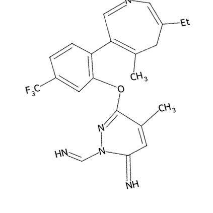 CCC1=CN=CC(c2ccc(C(F)(F)F)cc2Oc2nn(C=N)c(=N)cc2C)=C(C)C1